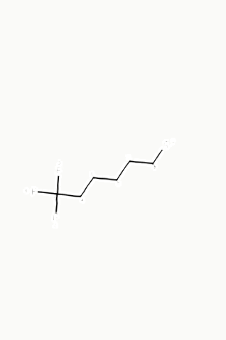 FC(F)(F)CCCCC[S]